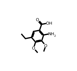 CCc1cc(C(=O)O)c(N)c(OC)c1OC